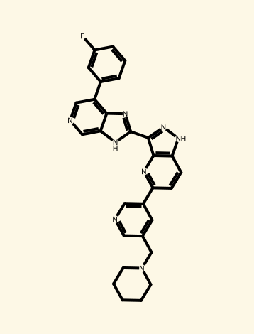 Fc1cccc(-c2cncc3[nH]c(-c4n[nH]c5ccc(-c6cncc(CN7CCCCC7)c6)nc45)nc23)c1